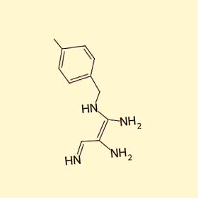 Cc1ccc(CN/C(N)=C(/N)C=N)cc1